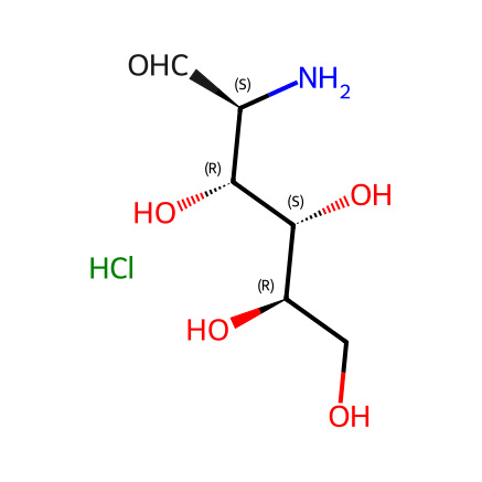 Cl.N[C@H](C=O)[C@@H](O)[C@H](O)[C@H](O)CO